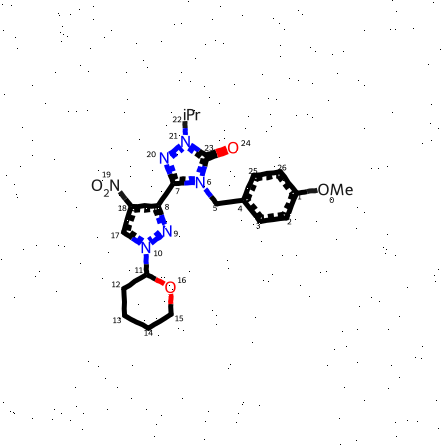 COc1ccc(Cn2c(-c3nn(C4CCCCO4)cc3[N+](=O)[O-])nn(C(C)C)c2=O)cc1